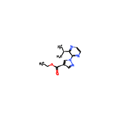 CCOC(=O)c1cnn(-c2nccnc2C(C)C)c1